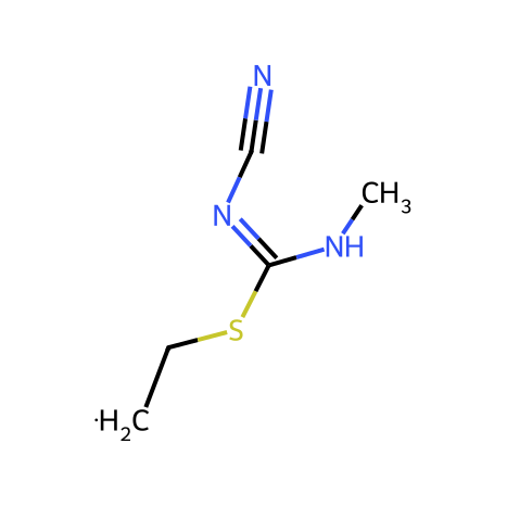 [CH2]CSC(=NC#N)NC